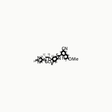 COc1cnc2c(-c3nc4cc(F)c(O[C@@H](C)[C@@H](C)N(C(=O)O)c5cnc(C)nc5)cc4s3)cc(C#N)cc2c1